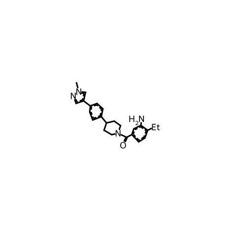 CCc1ccc(C(=O)N2CCC(c3ccc(-c4cnn(C)c4)cc3)CC2)cc1N